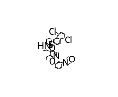 CCc1c(C(C)NS(=O)(=O)c2ccc3c(Cl)ccc(Cl)c3c2)ccnc1Oc1cccc(N2CCOCC2)c1